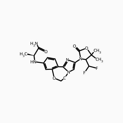 C[C@H](Nc1ccc2c(c1)OCCn1cc(N3C(=O)OC(C)(C)C3C(F)F)nc1-2)C(N)=O